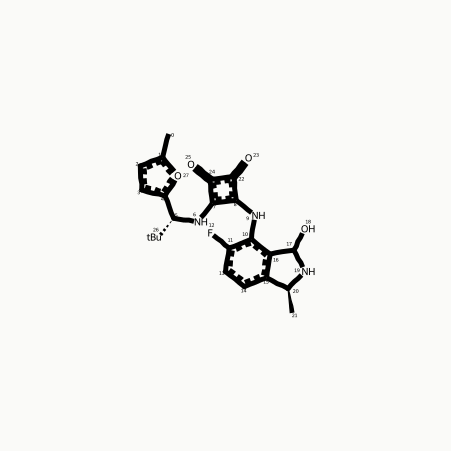 Cc1ccc([C@H](Nc2c(Nc3c(F)ccc4c3C(O)N[C@H]4C)c(=O)c2=O)C(C)(C)C)o1